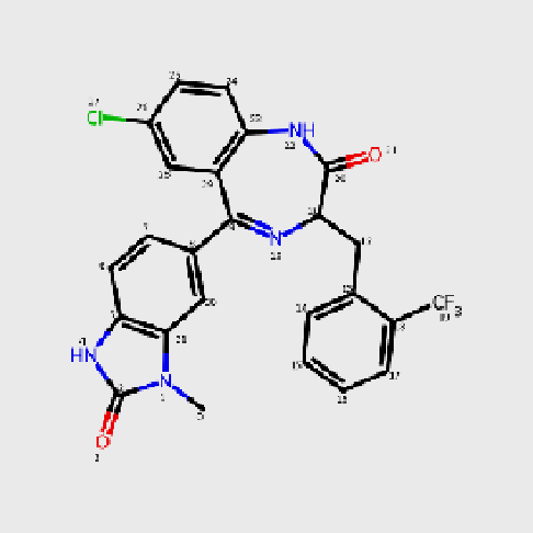 Cn1c(=O)[nH]c2ccc(C3=NC(Cc4ccccc4C(F)(F)F)C(=O)Nc4ccc(Cl)cc43)cc21